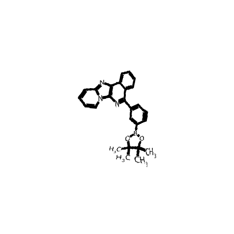 CC1(C)OB(c2cccc(-c3nc4c(nc5ccccn54)c4ccccc34)c2)OC1(C)C